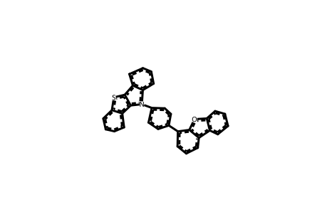 c1ccc2c(c1)oc1c(-c3ccc(-n4c5ccccc5c5sc6ccccc6c54)cc3)cccc12